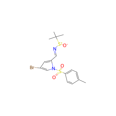 Cc1ccc(S(=O)(=O)n2cc(Br)cc2C=N[S+]([O-])C(C)(C)C)cc1